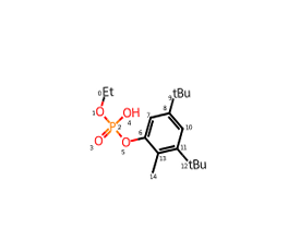 CCOP(=O)(O)Oc1cc(C(C)(C)C)cc(C(C)(C)C)c1C